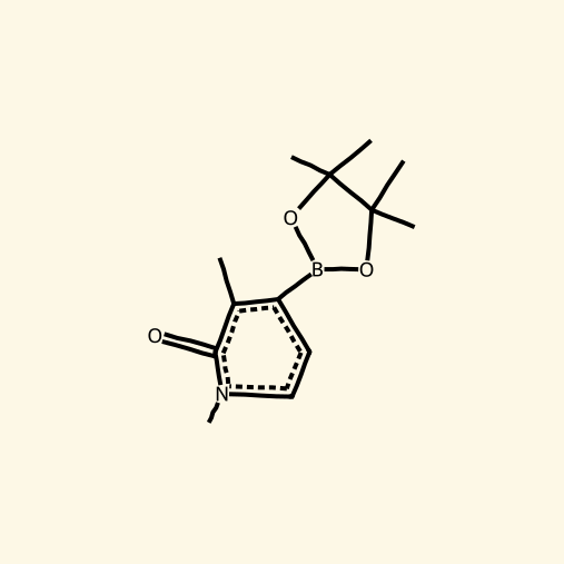 Cc1c(B2OC(C)(C)C(C)(C)O2)ccn(C)c1=O